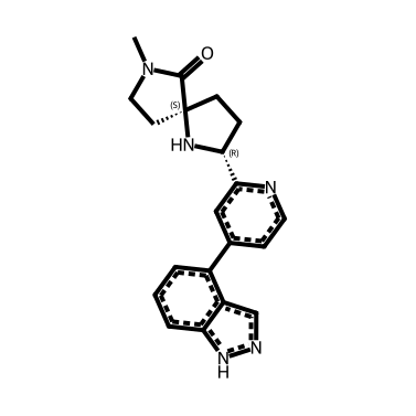 CN1CC[C@@]2(CC[C@H](c3cc(-c4cccc5[nH]ncc45)ccn3)N2)C1=O